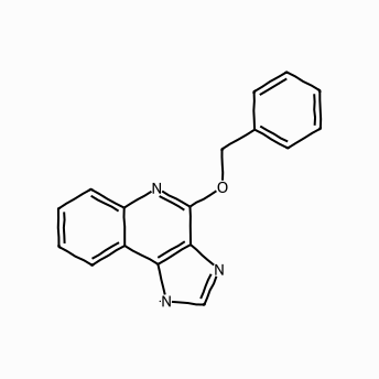 C1=Nc2c(OCc3ccccc3)nc3ccccc3c2[N]1